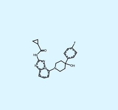 O=C(Nc1nc2cccc(N3CCC(O)(c4ccc(F)cc4)CC3)n2n1)C1CC1